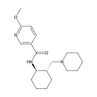 COc1ccc(C(=O)N[C@@H]2CCCC[C@H]2CN2CCCCC2)cn1